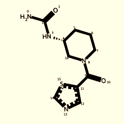 NC(=O)N[C@@H]1CCCN(C(=O)c2cncs2)C1